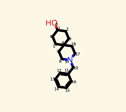 OC1CCC2(CC1)CCN(Cc1ccccc1)CC2